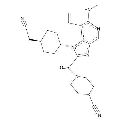 C=Cc1c(NC)ncc2nc(C(=O)N3CCC(C#N)CC3)n([C@H]3CC[C@H](CC#N)CC3)c12